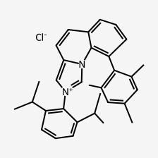 Cc1cc(C)c(-c2cccc3ccc4c[n+](-c5c(C(C)C)cccc5C(C)C)cn4c23)c(C)c1.[Cl-]